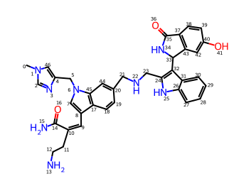 Cn1cnc(Cn2cc(C=C(CCN)C(N)=O)c3ccc(CNCc4[nH]c5ccccc5c4C4NC(=O)c5ccc(O)cc54)cc32)c1